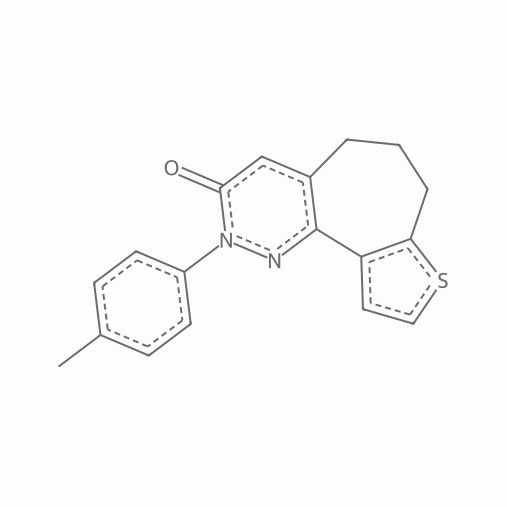 Cc1ccc(-n2nc3c(cc2=O)CCCc2sccc2-3)cc1